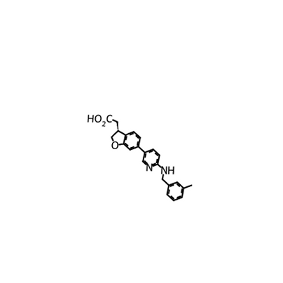 Cc1cccc(CNc2ccc(-c3ccc4c(c3)OC[C@H]4CC(=O)O)cn2)c1